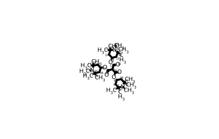 CN1C(C)(C)CC(OC(=O)C(C(=O)OC2CC(C)(C)N(C)C(C)(C)C2)C(=O)OC2CC(C)(C)N(C)C(C)(C)C2)CC1(C)C